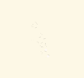 C=N/C(=C\C=C/C)c1nc(N2CCOCC2)c2c(C(=O)NCCc3cnc(O)nc3)csc2n1